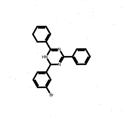 Brc1cccc(C2N=C(c3ccccc3)N=C(C3=CC=CCC3)N2)c1